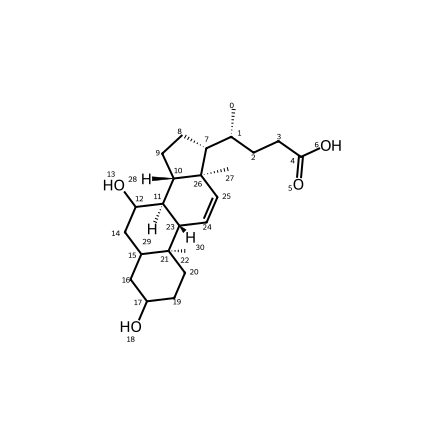 C[C@H](CCC(=O)O)[C@H]1CC[C@H]2[C@@H]3C(O)CC4CC(O)CC[C@]4(C)[C@H]3C=C[C@]12C